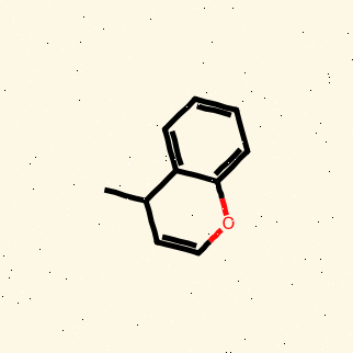 CC1C=COc2ccccc21